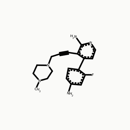 CN1CCN(CC#Cc2c(-c3ccc(N)cc3F)ccnc2N)CC1